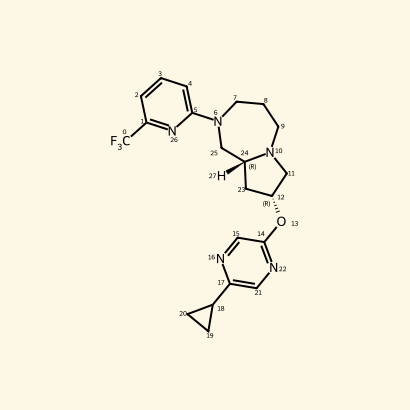 FC(F)(F)c1cccc(N2CCCN3C[C@H](Oc4cnc(C5CC5)cn4)C[C@@H]3C2)n1